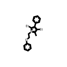 CCc1c(-c2ccccc2)c(CC)n(CCOc2ccccc2)c1C